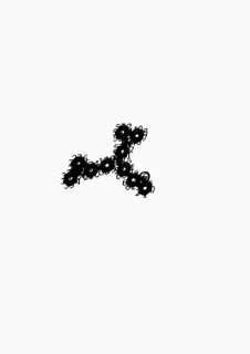 c1ccc2c(c1)oc1cc(-c3ccc(N(c4ccc(-c5ccc6c(c5)c5cccc7c8ccccc8n6c75)cc4)c4ccc(-n5c6ccccc6c6ccccc65)cc4)cc3)ccc12